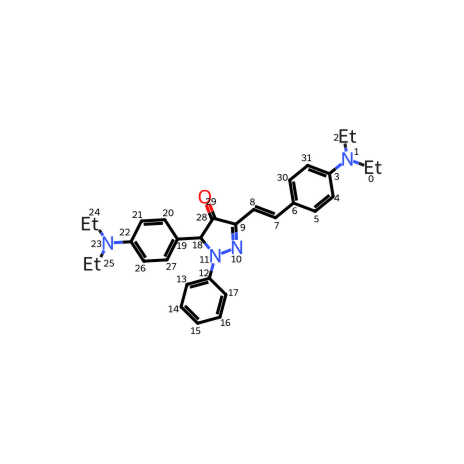 CCN(CC)c1ccc(C=CC2=NN(c3ccccc3)C(c3ccc(N(CC)CC)cc3)C2=O)cc1